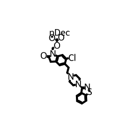 CCCCCCCCCCOC(=O)OCN1C(=O)Cc2cc(CCN3CCN(c4nsc5ccccc45)CC3)c(Cl)cc21